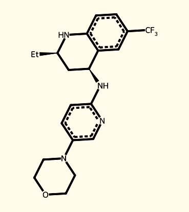 CC[C@@H]1C[C@H](Nc2ccc(N3CCOCC3)cn2)c2cc(C(F)(F)F)ccc2N1